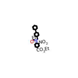 CCOC(=O)c1ccc(N(Cc2ccc(-c3ccccc3)cc2)C(=O)CC)c([N+](=O)[O-])c1